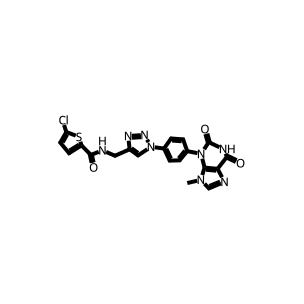 Cn1cnc2c(=O)[nH]c(=O)n(-c3ccc(-n4cc(CNC(=O)c5ccc(Cl)s5)nn4)cc3)c21